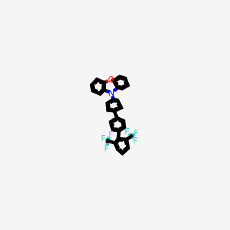 FC(F)(F)c1cccc(C(F)(F)F)c1-c1ccc(-c2ccc(N3c4ccccc4Oc4ccccc43)cc2)cc1